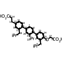 CC(C)Cc1cc(-c2ccc(-c3ccc(CCC(=O)O)cc3CC(C)C)cc2C(C)C)ccc1OCC(=O)O